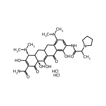 CC(C(=O)Nc1cc(N(C)C)c2c(c1O)C(=O)C1=C(O)[C@]3(O)C(=O)C(C(N)=O)=C(O)[C@@H](N(C)C)C3CC1C2)N1CCCC1.Cl.Cl